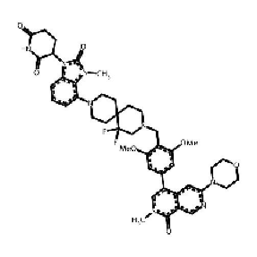 COc1cc(-c2cn(C)c(=O)c3cnc(N4CCOCC4)cc23)cc(OC)c1CN1CCC2(CCN(c3cccc4c3n(C)c(=O)n4C3CCC(=O)NC3=O)CC2)C(F)(F)C1